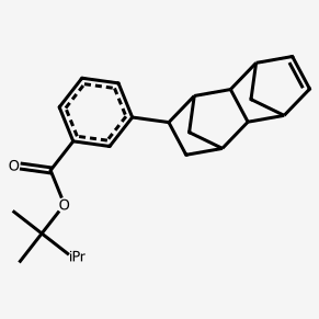 CC(C)C(C)(C)OC(=O)c1cccc(C2CC3CC2C2C4C=CC(C4)C32)c1